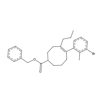 CCC/C1=C(\c2cccc(Br)c2C)CCCC(C(=O)OCc2ccccc2)CC1